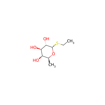 CCS[C@H]1O[C@@H](C)[C@@H](O)[C@@H](O)[C@@H]1O